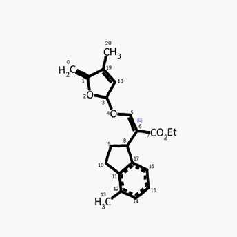 C=C1OC(O/C=C(/C(=O)OCC)C2CCc3c(C)cccc32)C=C1C